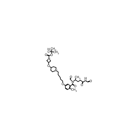 Cc1ccc(OCCCCCN2CCC(OC3CN(C(=O)OC(C)(C)C)C3)CC2)cc1C(=O)N(C=O)C(C)CCC(=O)NC=O